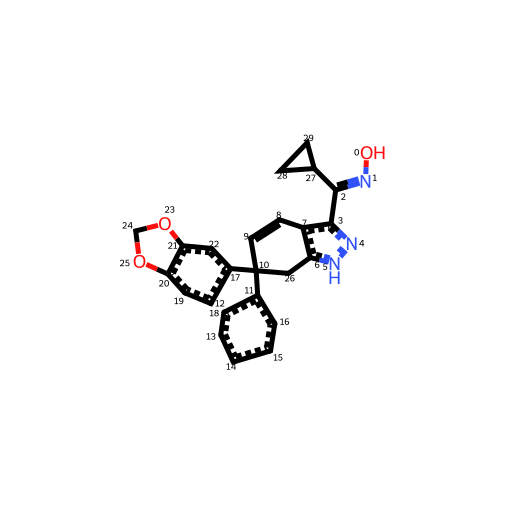 O/N=C(/c1n[nH]c2c1C=CC(c1ccccc1)(c1ccc3c(c1)OCO3)C2)C1CC1